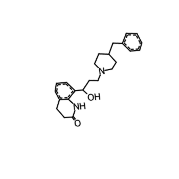 O=C1CCc2cccc(C(O)CCN3CCC(Cc4ccccc4)CC3)c2N1